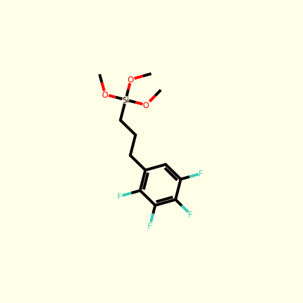 CO[Si](CCCc1cc(F)c(F)c(F)c1F)(OC)OC